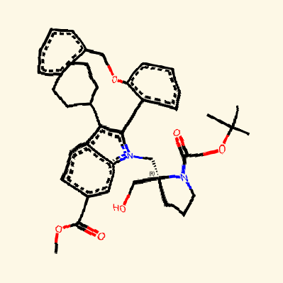 COC(=O)c1ccc2c(C3CCCCC3)c(-c3ccccc3OCc3ccccc3)n(C[C@@]3(CO)CCCN3C(=O)OC(C)(C)C)c2c1